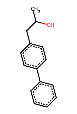 CC(O)Cc1ccc(-c2ccccc2)cc1